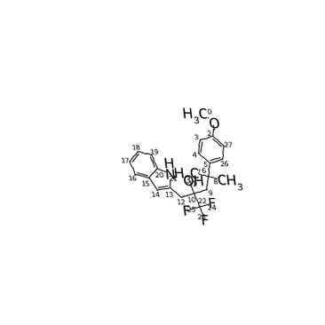 COc1ccc(C(C)(C)CC(O)(Cc2cc3ccccc3[nH]2)C(F)(F)F)cc1